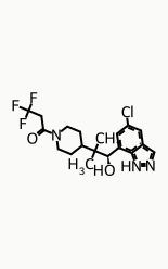 CC(C)(C1CCN(C(=O)CC(F)(F)F)CC1)[C@H](O)c1cc(Cl)cc2cn[nH]c12